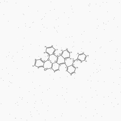 Clc1ccc2c(-c3ccccc3Oc3ccccc3)c3ccccc3c(-c3ccccc3Oc3ccccc3)c2c1